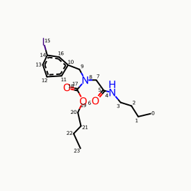 CCCCNC(=O)CN(Cc1cccc(I)c1)C(=O)OCCCC